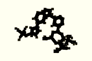 CC(C)(C)[C@H]1CN(c2cccc(-n3ncc4cnc(-c5cnn(CC(F)(F)F)c5)cc43)n2)CC(O)CN1C(=O)O